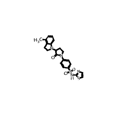 Cc1cccc2c1CCN2C1CCN(c2ccc(S(=O)(=O)Nc3nccs3)cc2)C1=O